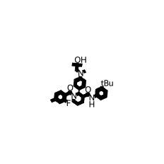 Cc1ccc(C(=O)N2CCCC(C(=O)Nc3cccc(C(C)(C)C)c3)C2[C@@H]2C=CC(N(C)CC(C)(C)O)=CC2)c(F)c1